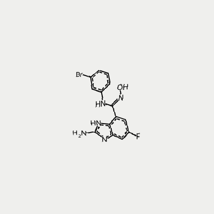 Nc1nc2cc(F)cc(/C(=N/O)Nc3cccc(Br)c3)c2[nH]1